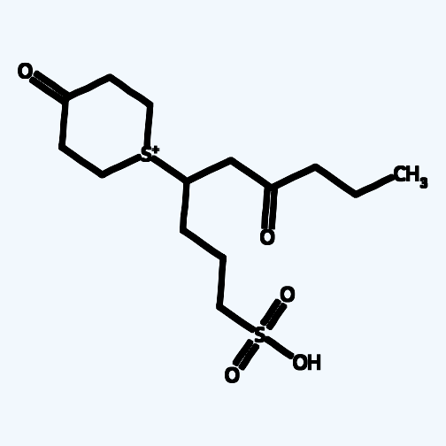 CCCC(=O)CC(CCCS(=O)(=O)O)[S+]1CCC(=O)CC1